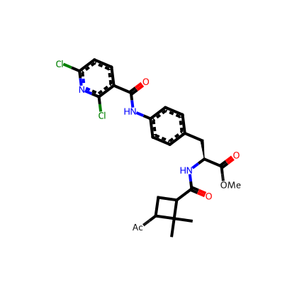 COC(=O)[C@H](Cc1ccc(NC(=O)c2ccc(Cl)nc2Cl)cc1)NC(=O)C1CC(C(C)=O)C1(C)C